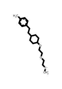 [CH2+][CH-]CCOCCOC1CCC(CCc2ccc(C)cc2)CC1